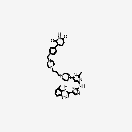 Cc1nc(Nc2ncc(C(=O)Nc3c(C)cccc3Cl)s2)cc(N2CCN(CCCN3CCN(Cc4ccc(C5CCC(=O)NC5=O)cc4)CC3)CC2)n1